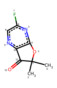 CC1(C)Oc2nc(F)cnc2C1=O